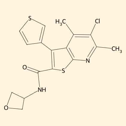 Cc1nc2sc(C(=O)NC3COC3)c(-c3ccsc3)c2c(C)c1Cl